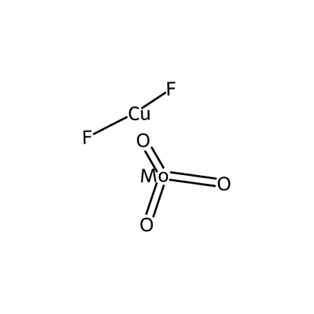 [F][Cu][F].[O]=[Mo](=[O])=[O]